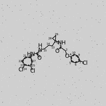 O=C(COc1ccc(Cl)cc1)NC1(CCCNC(=O)Nc2ccc(Cl)c(Cl)c2)CC1